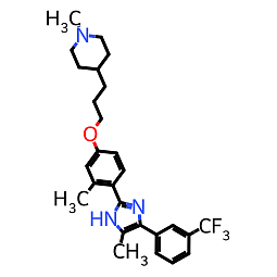 Cc1cc(OCCCC2CCN(C)CC2)ccc1-c1nc(-c2cccc(C(F)(F)F)c2)c(C)[nH]1